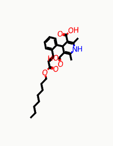 CCCCCCCCOC(=O)C=Cc1ccccc1C1C(C(=O)O)=C(C)NC(C)=C1C(=O)O